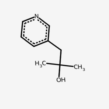 CC(C)(O)Cc1cccnc1